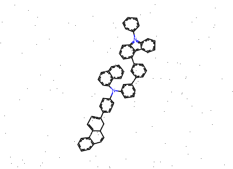 C1=CC2CC(c3ccc(N(c4cccc(-c5cccc(-c6cccc7c6c6ccccc6n7-c6ccccc6)c5)c4)c4cccc5ccccc45)cc3)=CC=C2c2ccccc21